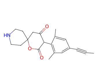 CC#Cc1cc(C)c(C2C(=O)CC3(CCNCC3)OC2=O)c(C)c1